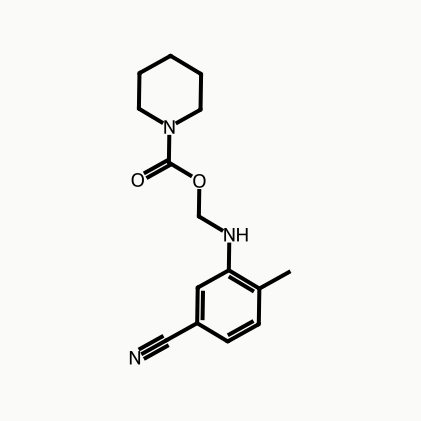 Cc1ccc(C#N)cc1NCOC(=O)N1CCCCC1